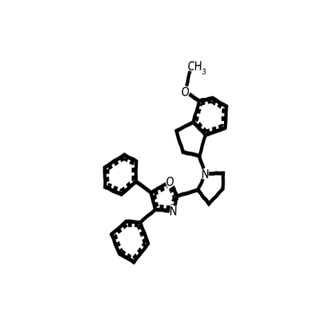 COc1cccc2c1CCC2N1CCCC1c1nc(-c2ccccc2)c(-c2ccccc2)o1